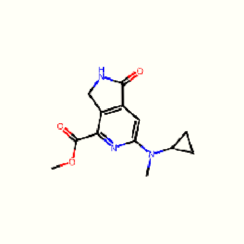 COC(=O)c1nc(N(C)C2CC2)cc2c1CNC2=O